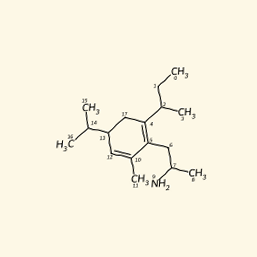 CCC(C)C1=C(CC(C)N)C(C)=CC(C(C)C)C1